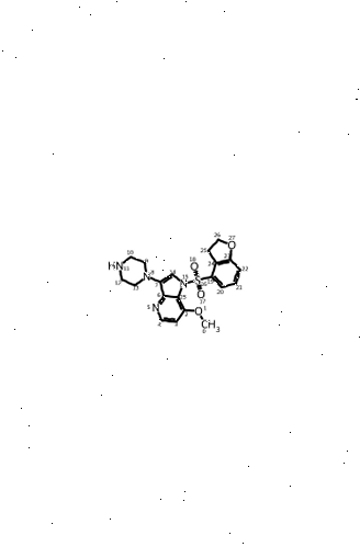 COc1ccnc2c(N3CCNCC3)cn(S(=O)(=O)c3cccc4c3CCO4)c12